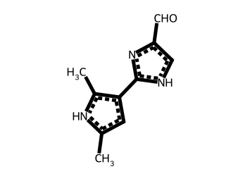 Cc1cc(-c2nc(C=O)c[nH]2)c(C)[nH]1